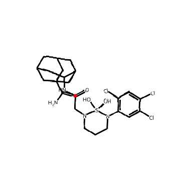 NC(=O)C12CC3CC(C1)C(NC(=O)CN1CCCN(c4cc(Cl)c(Cl)cc4Cl)S1(O)O)C(C3)C2